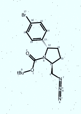 CC(C)(C)OC(=O)N1[C@H](CN=[N+]=[N-])CC[C@H]1c1ccc(Br)cc1